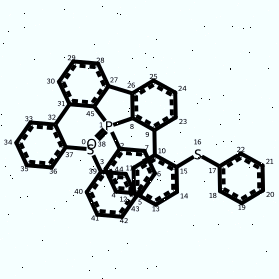 O=P1(c2ccccc2)c2c(-c3ccccc3Sc3ccccc3)cccc2-c2cccc(-c3ccccc3Sc3ccccc3)c21